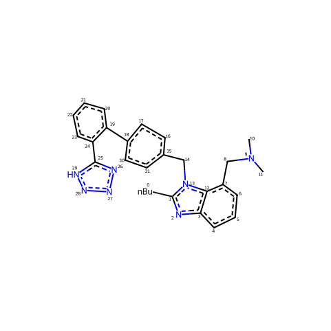 CCCCc1nc2cccc(CN(C)C)c2n1Cc1ccc(-c2ccccc2-c2nnn[nH]2)cc1